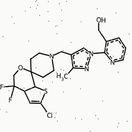 Cc1nn(-c2ncccc2CO)cc1CN1CCC2(CC1)OCC(F)(F)C1C=C(Cl)SC12